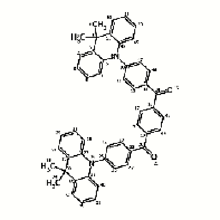 CC1(C)c2ccccc2N(c2ccc(C(=O)c3ccc(C(=O)c4ccc(N5c6ccccc6C(C)(C)c6ccccc65)cc4)cc3)cc2)c2ccccc21